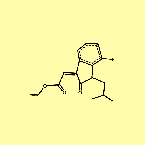 CCOC(=O)C=C1C(=O)N(CC(C)C)c2c(F)cccc21